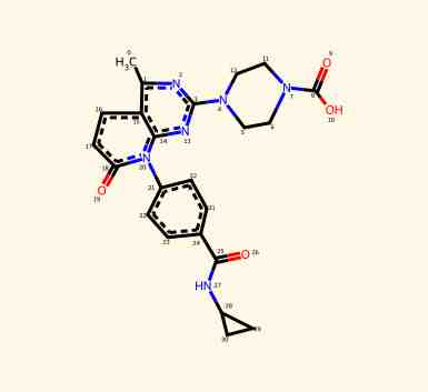 Cc1nc(N2CCN(C(=O)O)CC2)nc2c1ccc(=O)n2-c1ccc(C(=O)NC2CC2)cc1